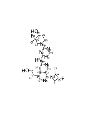 C[C@H](CO)c1cnc(N2C[C@@H](F)[C@H]2C)c2cnc(Nc3ccnc(N4CC[C@@H](O)[C@@](C)(F)C4)n3)cc12